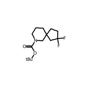 CC(C)(C)OC(=O)N1CCCC2(CCC(F)(F)C2)C1